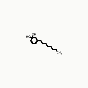 CCCCCCCCC1=CC=CC(O)(O)C1